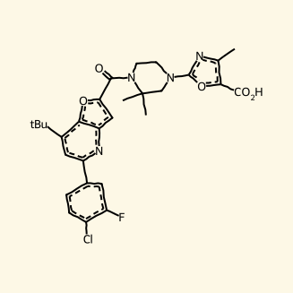 Cc1nc(N2CCN(C(=O)c3cc4nc(-c5ccc(Cl)c(F)c5)cc(C(C)(C)C)c4o3)C(C)(C)C2)oc1C(=O)O